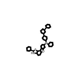 c1ccc(-c2cccc(-c3ccc(N(c4ccccc4)c4ccc5c(c4)oc4ccc6c(c45)SC(c4ccccc4)N6)cc3)c2)cc1